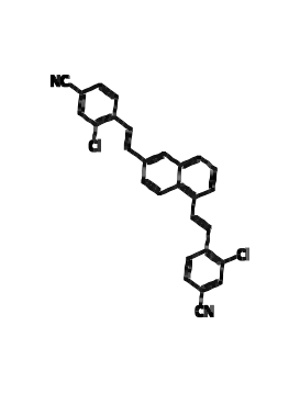 N#Cc1ccc(C=Cc2ccc3c(C=Cc4ccc(C#N)cc4Cl)cccc3c2)c(Cl)c1